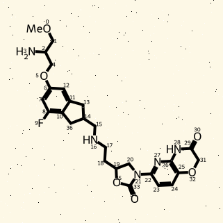 COCC(N)COc1cc(F)c2c(c1)CC(CNCCC1CN(c3ccc4c(n3)NC(=O)CO4)C(=O)O1)C2